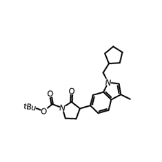 Cc1cn(CC2CCCC2)c2cc(C3CCN(C(=O)OC(C)(C)C)C3=O)ccc12